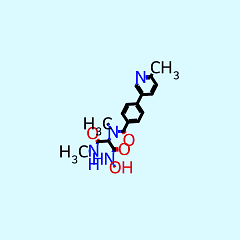 CNC(=O)C(C(=O)NO)N(C)C(=O)c1ccc(-c2ccc(C)nc2)cc1